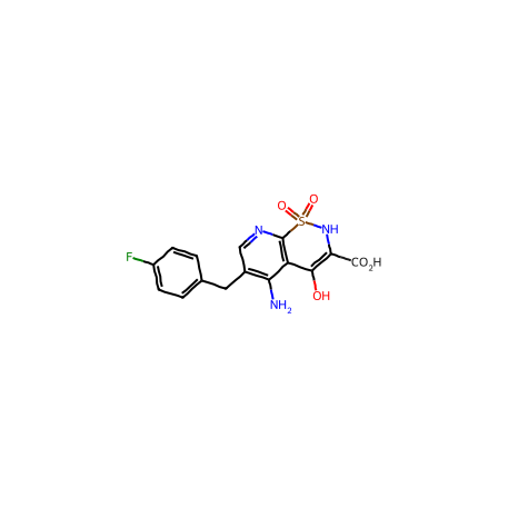 Nc1c(Cc2ccc(F)cc2)cnc2c1C(O)=C(C(=O)O)NS2(=O)=O